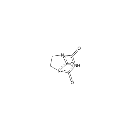 O=c1[nH]c(=O)n2c(=O)n1CC2